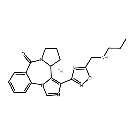 CCCNCc1nc(-c2ncn3c2[C@@H]2CCCN2C(=O)c2ccccc2-3)no1